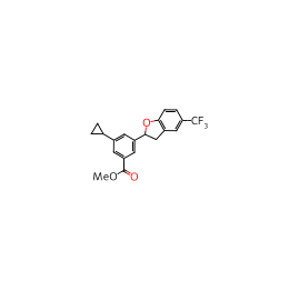 COC(=O)c1cc(C2CC2)cc(C2Cc3cc(C(F)(F)F)ccc3O2)c1